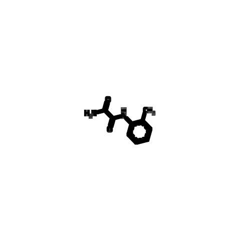 Cc1ccccc1NC(=O)C(N)=O